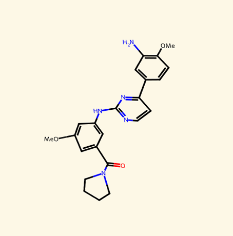 COc1cc(Nc2nccc(-c3ccc(OC)c(N)c3)n2)cc(C(=O)N2CCCC2)c1